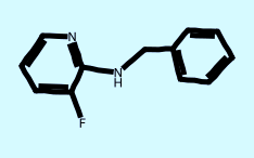 Fc1cccnc1NCc1ccccc1